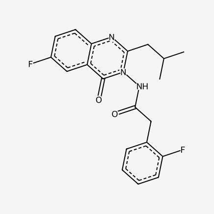 CC(C)Cc1nc2ccc(F)cc2c(=O)n1NC(=O)Cc1ccccc1F